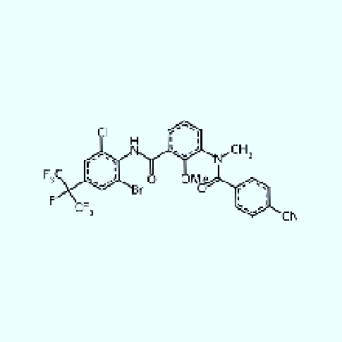 COc1c(C(=O)Nc2c(Cl)cc(C(F)(C(F)(F)F)C(F)(F)F)cc2Br)cccc1N(C)C(=O)c1ccc(C#N)cc1